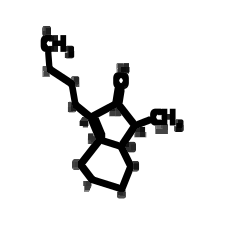 CCCCC1=C2CCCCC2C(C)C1=O